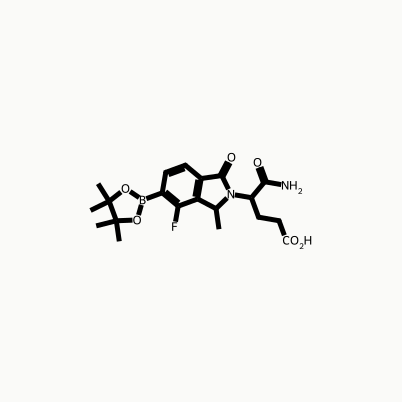 CC1c2c(ccc(B3OC(C)(C)C(C)(C)O3)c2F)C(=O)N1C(CCC(=O)O)C(N)=O